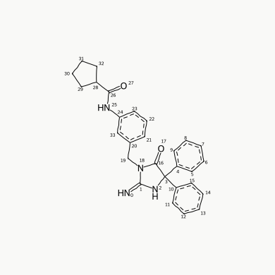 N=C1NC(c2ccccc2)(c2ccccc2)C(=O)N1Cc1cccc(NC(=O)C2CCCC2)c1